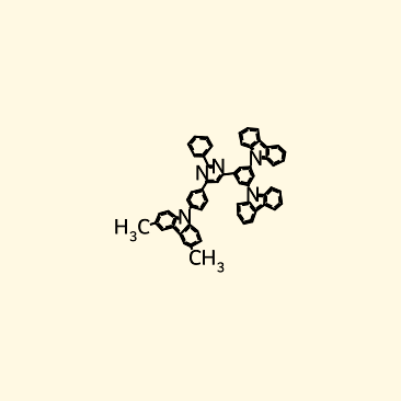 Cc1ccc2c(c1)c1cc(C)ccc1n2-c1ccc(-c2cc(-c3cc(-n4c5ccccc5c5ccccc54)cc(-n4c5ccccc5c5ccccc54)c3)nc(-c3ccccc3)n2)cc1